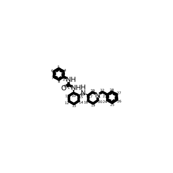 O=C(Nc1ccccc1)N[C@@H]1CCCC[C@H]1N[C@H]1CCCN(Cc2ccccc2)C1